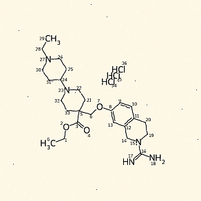 CCOC(=O)C1(COc2ccc3c(c2)CN(C(=N)N)CC3)CCN(C2CCN(CC)CC2)CC1.Cl.Cl.Cl